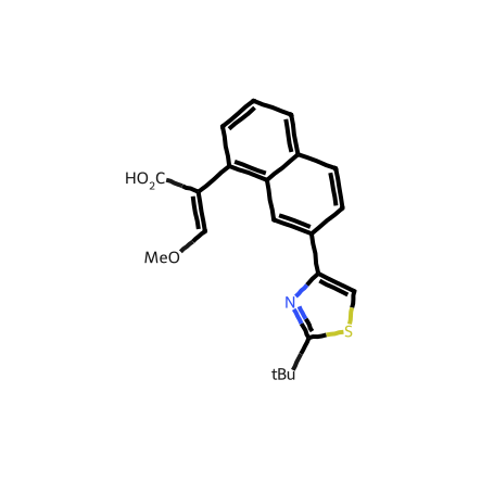 COC=C(C(=O)O)c1cccc2ccc(-c3csc(C(C)(C)C)n3)cc12